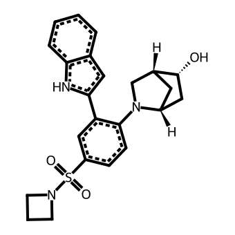 O=S(=O)(c1ccc(N2C[C@H]3C[C@@H]2C[C@H]3O)c(-c2cc3ccccc3[nH]2)c1)N1CCC1